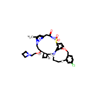 Cc1cc2nn1CCC(OCCN1CCC1)[C@@H]1CC[C@H]1CN1CCCCc3cc(Cl)ccc3COc3ccc(cc31)S(=O)(=O)NC(=O)C2